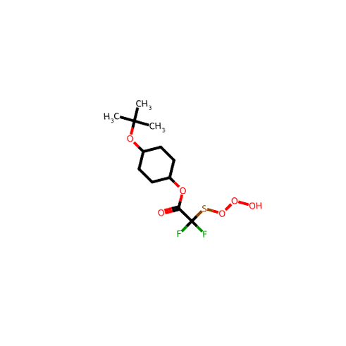 CC(C)(C)OC1CCC(OC(=O)C(F)(F)SOOO)CC1